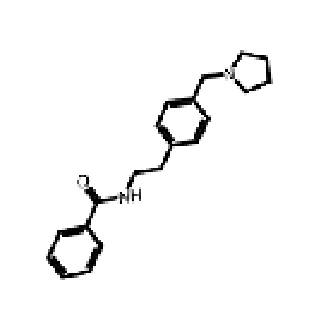 O=C(NCCc1ccc(CN2CCCC2)cc1)c1ccccc1